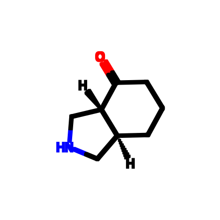 O=C1CCC[C@H]2CNC[C@H]12